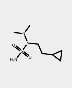 CN(C)N(CCC1CC1)S(N)(=O)=O